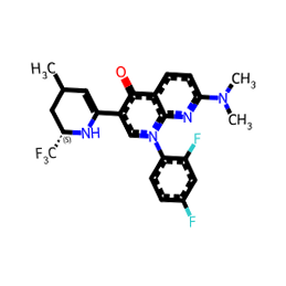 CC1C=C(c2cn(-c3ccc(F)cc3F)c3nc(N(C)C)ccc3c2=O)N[C@H](C(F)(F)F)C1